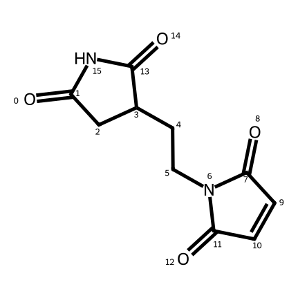 O=C1CC(CCN2C(=O)C=CC2=O)C(=O)N1